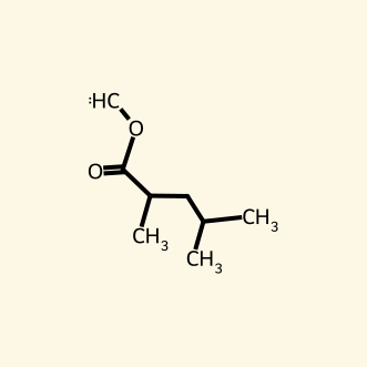 [CH]OC(=O)C(C)CC(C)C